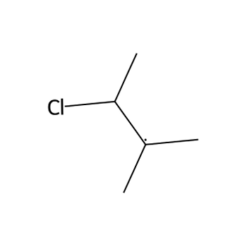 C[C](C)C(C)Cl